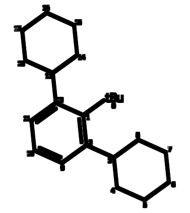 CC(C)(C)c1c(C2CCCCC2)cccc1C1CCCCC1